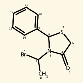 CC(Br)N1C(=O)CSC1c1ccccc1